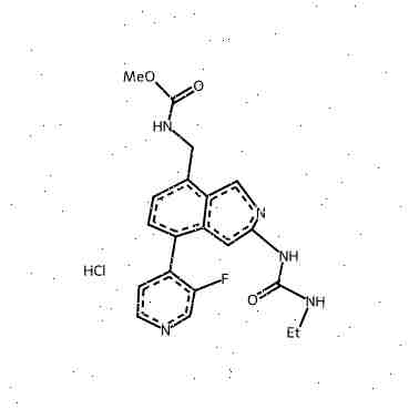 CCNC(=O)Nc1cc2c(-c3ccncc3F)ccc(CNC(=O)OC)c2cn1.Cl